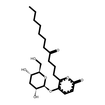 CCCCCCCC(=O)CCCc1oc(=O)ccc1O[C@@H]1O[C@H](CO)[C@@H](O)C[C@H]1O